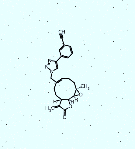 C#Cc1cccc(-c2cn(C/C3=C/CC[C@@]4(C)O[C@H]4[C@H]4OC(=O)C(=C)[C@@H]4CC3)nn2)c1